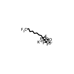 O=S(=O)([O-])C(F)(F)C(F)(F)C(F)(F)CCCCCCCC(F)(F)F.[K+]